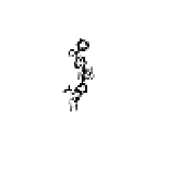 CC(C)Nc1cc(-c2nc(N3CCN(C(=O)c4ccccc4)CC3)no2)ccc1C=N